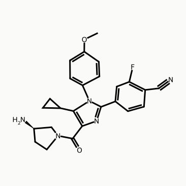 COc1ccc(-n2c(-c3ccc(C#N)c(F)c3)nc(C(=O)N3CC[C@@H](N)C3)c2C2CC2)cc1